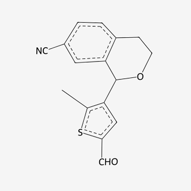 Cc1sc(C=O)cc1C1OCCc2ccc(C#N)cc21